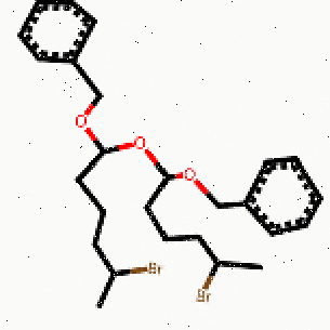 CC(Br)CCCC(OCc1ccccc1)OC(CCCC(C)Br)OCc1ccccc1